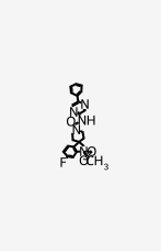 CS(=O)(=O)N1CC2(CCN(C(=O)Nc3cnc(-c4ccccc4)cn3)CC2)c2ccc(F)cc21